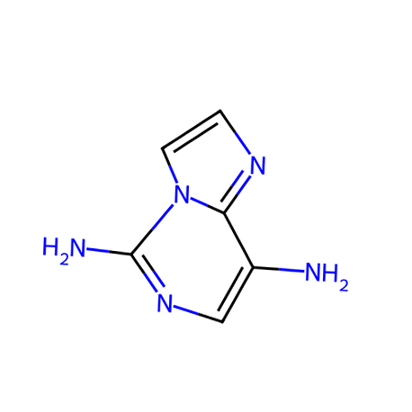 Nc1cnc(N)n2ccnc12